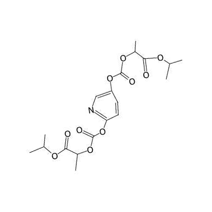 CC(C)OC(=O)C(C)OC(=O)Oc1ccc(OC(=O)OC(C)C(=O)OC(C)C)nc1